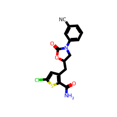 N#Cc1cccc(N2CC(Cc3cc(Cl)sc3C(N)=O)OC2=O)c1